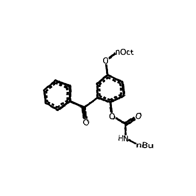 CCCCCCCCOc1ccc(OC(=O)NCCCC)c(C(=O)c2ccccc2)c1